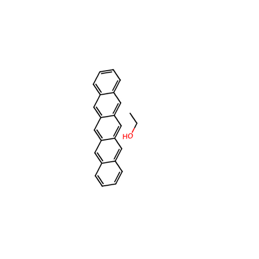 CCO.c1ccc2cc3cc4cc5ccccc5cc4cc3cc2c1